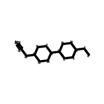 CCC1CCC(C2CCC(CC#N)CC2)CC1